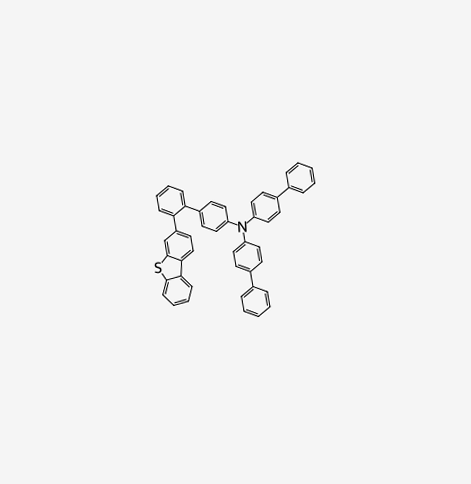 c1ccc(-c2ccc(N(c3ccc(-c4ccccc4)cc3)c3ccc(-c4ccccc4-c4ccc5c(c4)sc4ccccc45)cc3)cc2)cc1